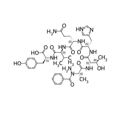 CC(C)[C@H](NC(=O)[C@H](CCC(N)=O)NC(=O)[C@H](Cc1c[nH]cn1)NC(=O)[C@@H](NC(=O)[C@H](C)N(N)C(=O)c1ccccc1)[C@@H](C)O)C(=O)N[C@@H](Cc1ccc(O)cc1)C(=O)O